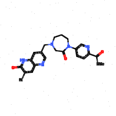 CCc1cc2ncc(CN3CCCN(c4ccc(C(=O)NC)nc4)C(=O)C3)cc2[nH]c1=O